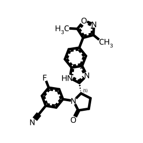 Cc1noc(C)c1-c1ccc2[nH]c([C@@H]3CCC(=O)N3c3cc(F)cc(C#N)c3)nc2c1